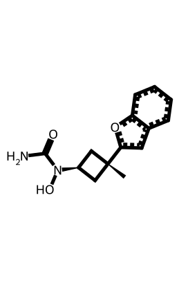 C[C@]1(c2cc3ccccc3o2)C[C@H](N(O)C(N)=O)C1